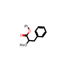 COC(Cc1ccccc1)C(=O)OC(C)C